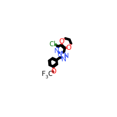 FC(F)(F)Oc1cccc(-c2nnc3c4c(c(Cl)nn23)OCCCO4)c1